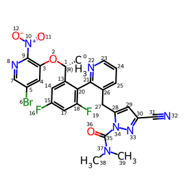 C[C@@H](Oc1cc(Br)cnc1[N+](=O)[O-])c1cc(F)cc(F)c1-c1ncccc1Cc1cc(C#N)nn1C(=O)N(C)C